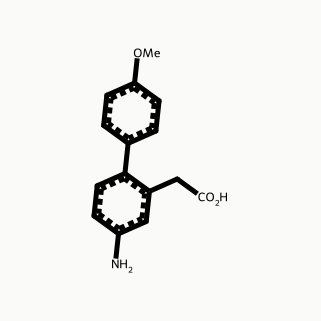 COc1ccc(-c2ccc(N)cc2CC(=O)O)cc1